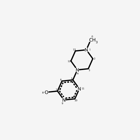 CN1CCN(c2cc([O])ncn2)CC1